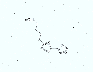 CCCCCCCCCCCCc1ccc(-c2ccsc2)s1